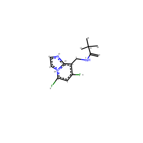 C=C(NCc1c(F)cc(F)n2ccnc12)C(C)(C)C